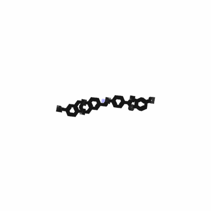 Clc1ccc2oc(-c3ccc(/N=C/c4ccc5c(c4)CN4CN5Cc5cc(Br)ccc54)cc3)nc2c1